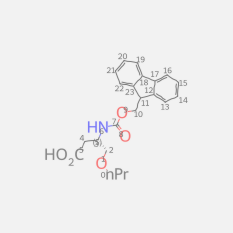 CCCOC[C@H](CC(=O)O)NC(=O)OCC1c2ccccc2-c2ccccc21